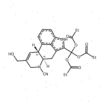 CCC(=O)OC(OC(=O)CC)(OC(=O)CC)c1[nH]c2cccc3c2c1C[C@@H]1[C@@H]3C=C(CO)CN1C#N